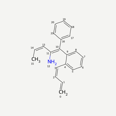 C=C/C=C\c1ccccc1/C(=C(N)/C=C\C)c1ccccc1